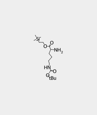 CC(C)(C)OC(=O)NCCCCC(N)C(=O)OCC[Si](C)(C)C